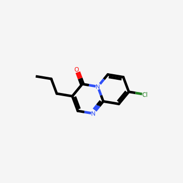 CCCc1cnc2cc(Cl)ccn2c1=O